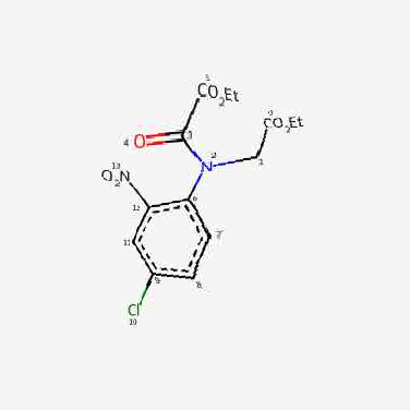 CCOC(=O)CN(C(=O)C(=O)OCC)c1ccc(Cl)cc1[N+](=O)[O-]